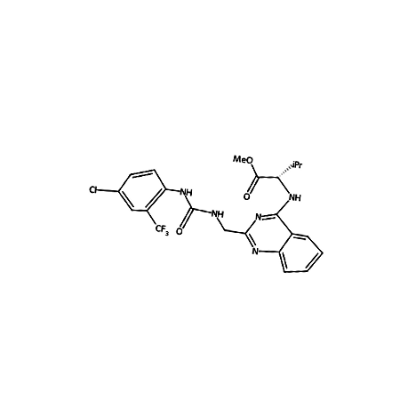 COC(=O)[C@@H](Nc1nc(CNC(=O)Nc2ccc(Cl)cc2C(F)(F)F)nc2ccccc12)C(C)C